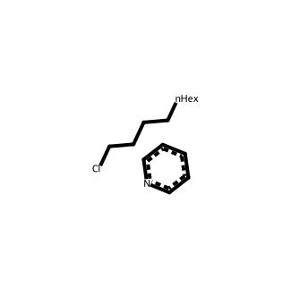 CCCCCCCCCCCl.c1ccncc1